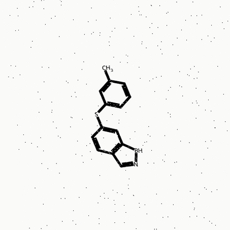 Cc1cccc(Sc2ccc3c(c2)BN=C3)c1